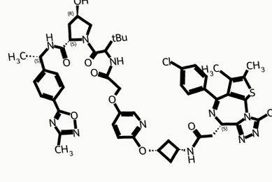 Cc1noc(-c2ccc([C@H](C)NC(=O)[C@@H]3C[C@@H](O)CN3C(=O)C(NC(=O)COc3ccc(O[C@H]4C[C@@H](NC(=O)C[C@@H]5N=C(c6ccc(Cl)cc6)c6c(sc(C)c6C)-n6c(C)nnc65)C4)nc3)C(C)(C)C)cc2)n1